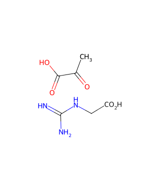 CC(=O)C(=O)O.N=C(N)NCC(=O)O